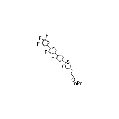 CCCOCCCC1COC(c2ccc(-c3ccc(-c4cc(F)c(F)c(F)c4)c(F)c3)c(F)c2)SC1